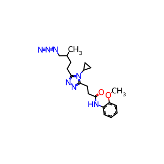 COc1ccccc1NC(=O)CCc1nnc(CCC(C)CN=[N+]=[N-])n1C1CC1